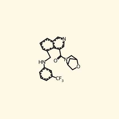 O=C(c1cncc2cccc(CNc3cccc(C(F)(F)F)c3)c12)N1CC2CC1CO2